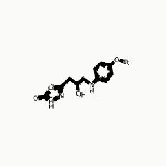 CCOc1ccc(NCC(O)Cc2n[nH]c(=O)o2)cc1